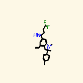 C=Cc1cc(C(=N)CCC(F)F)ccc1CC(C)(c1ccc(C)cc1)N(C)C